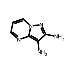 Nc1nn2cccnc2c1N